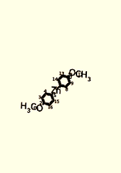 COc1cc[c]([Zn][c]2ccc(OC)cc2)cc1